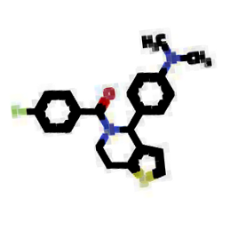 CN(C)c1ccc(C2c3ccsc3CCN2C(=O)c2ccc(F)cc2)cc1